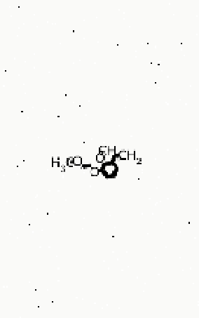 C=Cc1cccc(OCCOC)c1OC